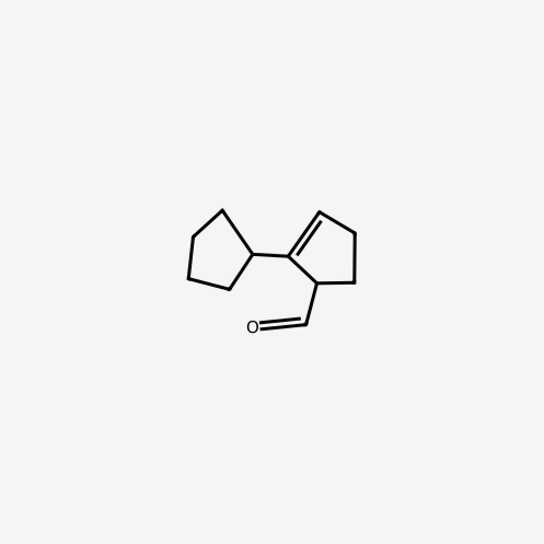 O=CC1CCC=C1C1CCCC1